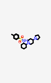 Cc1ccc(S(=O)(=O)N[C@@H]2CCCCC2N2CCC(N3CCCC3)CC2)cc1